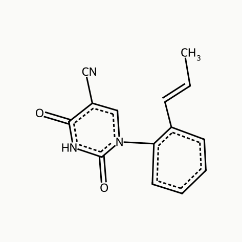 CC=Cc1ccccc1-n1cc(C#N)c(=O)[nH]c1=O